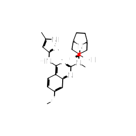 COc1ccc2c(Nc3cc(C)[nH]n3)nc(N(C)C3CC4CCC(C3)N4C(=O)O)nc2c1